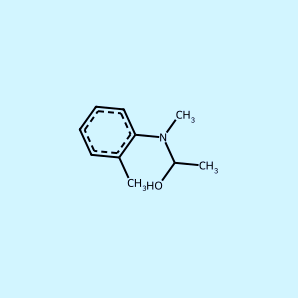 Cc1ccccc1N(C)C(C)O